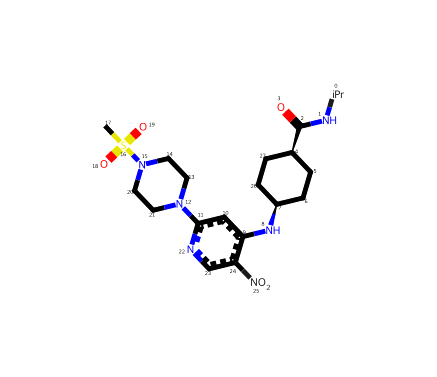 CC(C)NC(=O)[C@H]1CC[C@@H](Nc2cc(N3CCN(S(C)(=O)=O)CC3)ncc2[N+](=O)[O-])CC1